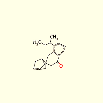 CCC(C)c1cccc2c1CC1(CC2=O)CC2=CCC1C2